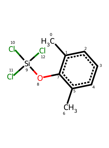 Cc1cccc(C)c1O[Si](Cl)(Cl)Cl